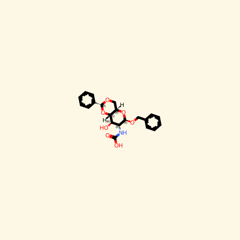 O=C(O)N[C@H]1[C@H](OCc2ccccc2)O[C@@H]2CO[C@@H](c3ccccc3)O[C@H]2[C@@H]1O